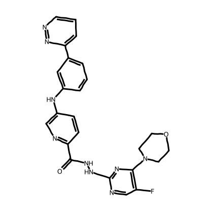 O=C(NNc1ncc(F)c(N2CCOCC2)n1)c1ccc(Nc2cccc(-c3cccnn3)c2)cn1